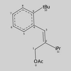 CC(=O)OCC(=Cc1ccccc1C(C)(C)C)C(C)C